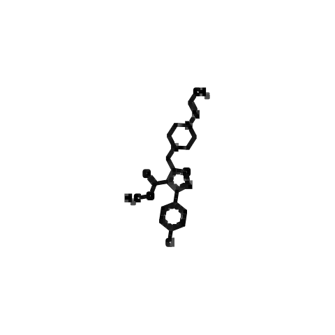 C/C=N/N1CCN(Cc2onc(-c3ccc(Cl)cc3)c2C(=O)OC)CC1